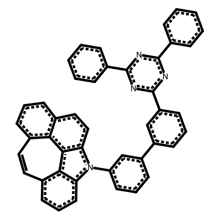 C1=Cc2cccc3c2c2c4c1cccc4ccc2n3-c1cccc(-c2cccc(-c3nc(-c4ccccc4)nc(-c4ccccc4)n3)c2)c1